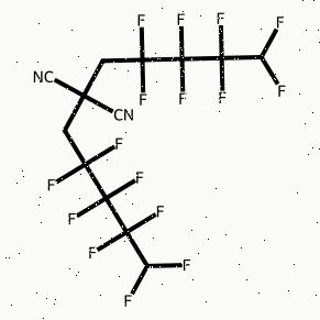 N#CC(C#N)(CC(F)(F)C(F)(F)C(F)(F)C(F)F)CC(F)(F)C(F)(F)C(F)(F)C(F)F